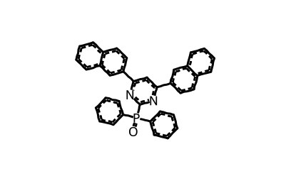 O=P(c1ccccc1)(c1ccccc1)c1nc(-c2ccc3ccccc3c2)cc(-c2ccc3ccccc3c2)n1